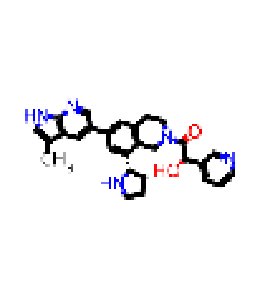 Cc1c[nH]c2ncc(-c3cc4c(c([C@@H]5CCCN5)c3)CN(C(=O)C(O)c3cccnc3)CC4)cc12